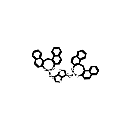 c1ccc2c3c(ccc2c1)OP(O[C@@H]1COC2C1OC[C@H]2OP1Oc2ccc4ccccc4c2Cc2c(ccc4ccccc24)O1)Oc1ccc2ccccc2c1C3